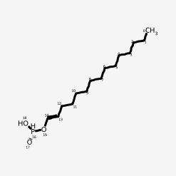 CCCCCCCCCCCCCC=CO[PH](=O)O